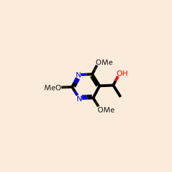 COc1nc(OC)c(C(C)O)c(OC)n1